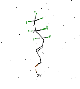 [CH2]SCC=CC(F)(F)C(F)(F)C(F)(F)F